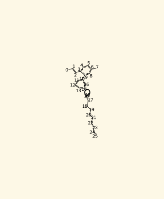 C/C=C/c1ccc(C)cc1-c1cccc(OCCCCCCCCCC)c1